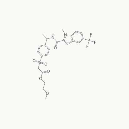 COCCOC(=O)CS(=O)(=O)c1ccc(C(C)NC(=O)c2cc3cc(C(F)(F)F)ccc3n2C)cc1